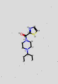 CCC(CC)N1CCN(C(=O)c2nccs2)CC1